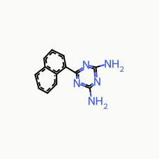 Nc1nc(N)nc(-c2cccc3ccccc23)n1